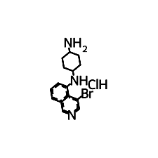 Cl.NC1CCC(Nc2cccc3cncc(Br)c23)CC1